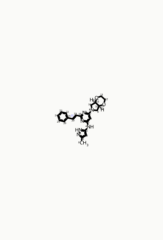 Cc1cc(Nc2cc(N3C[C@@H]4OCCO[C@@H]4C3)nc(/C=C/c3ccccc3)n2)[nH]n1